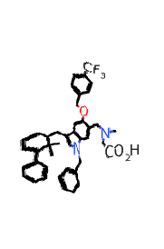 CN(CC(=O)O)Cc1cc2c(cc1OCc1ccc(C(F)(F)F)cc1)c(CC1C=CC=C(c3ccccc3)C1(C)C)cn2Cc1ccccc1